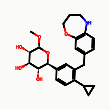 CO[C@H]1O[C@@H](c2ccc(C3CC3)c(Cc3ccc4c(c3)OCCCN4)c2)[C@H](O)[C@@H](O)[C@@H]1O